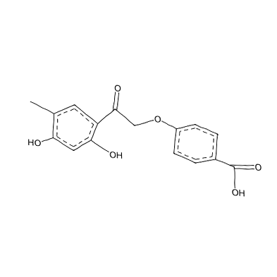 Cc1cc(C(=O)COc2ccc(C(=O)O)cc2)c(O)cc1O